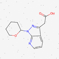 O=C(O)Cc1nn(C2CCCCO2)c2ncccc12